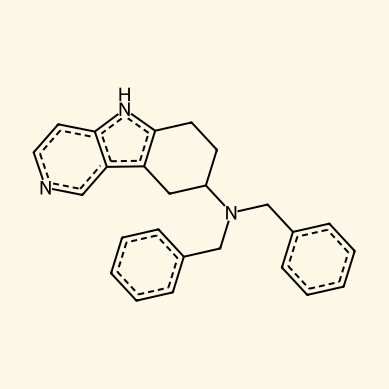 c1ccc(CN(Cc2ccccc2)C2CCc3[nH]c4ccncc4c3C2)cc1